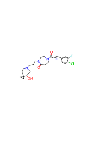 O=C(/C=C/c1ccc(Cl)c(F)c1)N1CCC(=O)N(CCCN2CCC3(CC3)C(O)C2)CC1